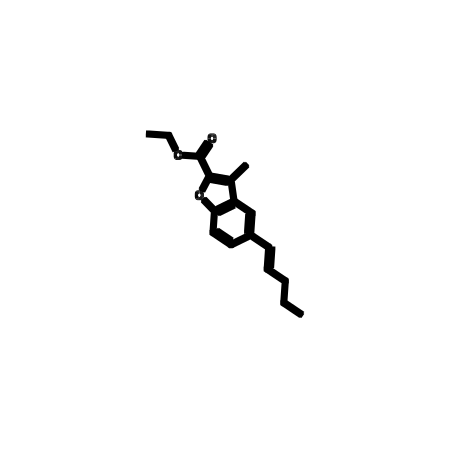 CCCC=Cc1ccc2oc(C(=O)OCC)c(C)c2c1